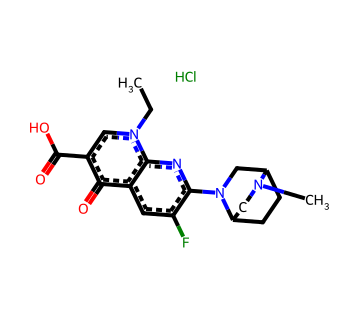 CCn1cc(C(=O)O)c(=O)c2cc(F)c(N3CC4CCC3CN4C)nc21.Cl